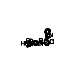 O=C(Nc1ccc(Cl)c(-c2cnc3ccccc3n2)c1)c1ccc(N2CCNS2(=O)=O)cc1